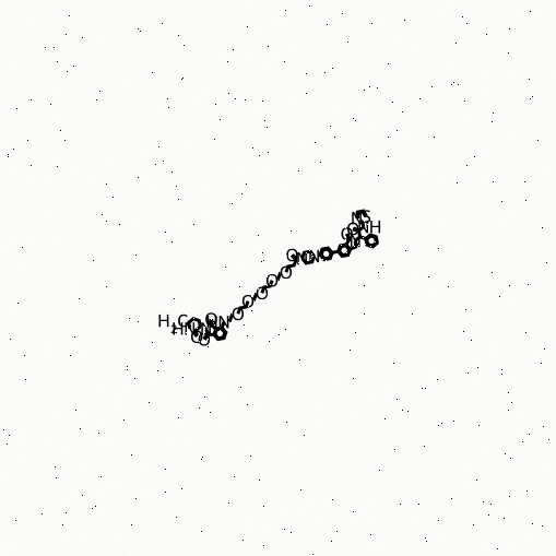 C=C1CCC(N2C(=O)c3cccc(NCCOCCOCCOCCOCCOCCC(=O)N4CCN(c5ccc(-c6ccc7c(c6)C(=O)N(C(C(=O)Nc6nccs6)c6ccccc6)C7)cc5)CC4)c3C2=O)C(=O)N1